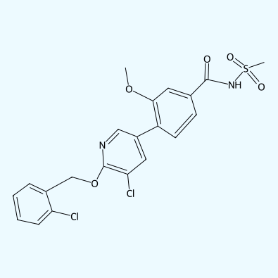 COc1cc(C(=O)NS(C)(=O)=O)ccc1-c1cnc(OCc2ccccc2Cl)c(Cl)c1